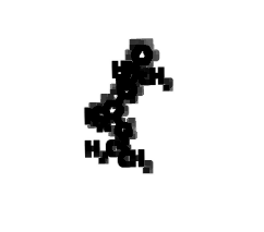 C=CC(=C)N1CCC(c2cc(-c3ccc(C(=C)Nc4ccccc4)nc3)cc3cncnc23)C1